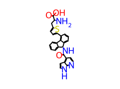 NC(Cc1ccc(-c2cccc3c2-c2ccccc2C3NC(=O)c2ccnc3[nH]ccc23)s1)C(=O)O